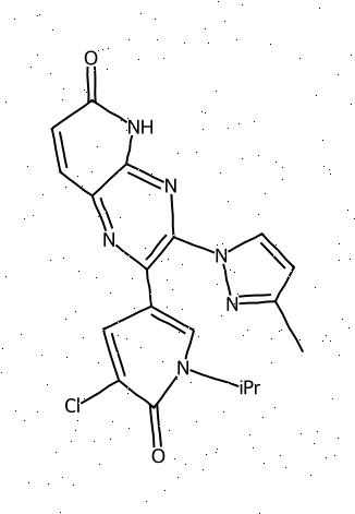 Cc1ccn(-c2nc3[nH]c(=O)ccc3nc2-c2cc(Cl)c(=O)n(C(C)C)c2)n1